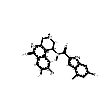 Cc1cc(F)cc2[nH]c(C(=O)N(C)C3CNCc4[nH]c(=O)c5cc(F)c(F)cc5c43)cc12